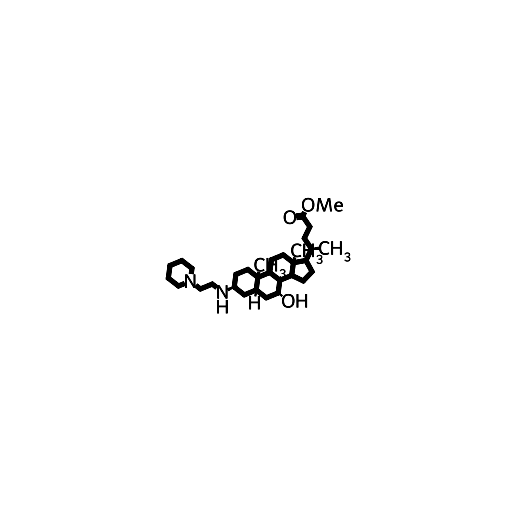 COC(=O)CC[C@@H](C)C1CCC2C3C(CC[C@@]21C)[C@@]1(C)CC[C@H](NCCN2CCCCC2)C[C@@H]1C[C@H]3O